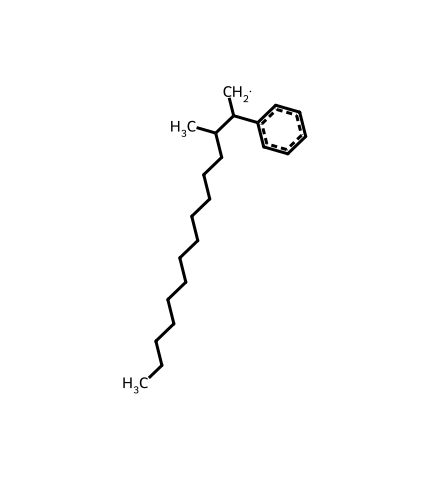 [CH2]C(c1ccccc1)C(C)CCCCCCCCCCCC